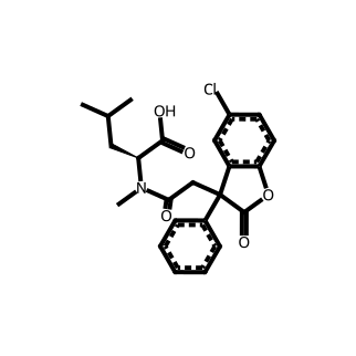 CC(C)C[C@@H](C(=O)O)N(C)C(=O)CC1(c2ccccc2)C(=O)Oc2ccc(Cl)cc21